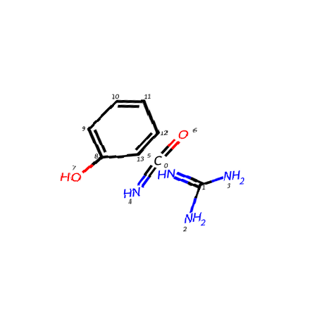 N=C(N)N.N=C=O.Oc1ccccc1